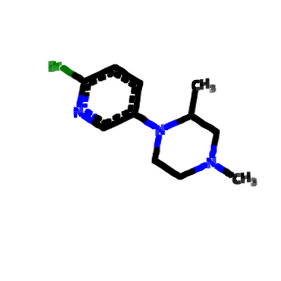 CC1CN(C)CCN1c1ccc(Br)nc1